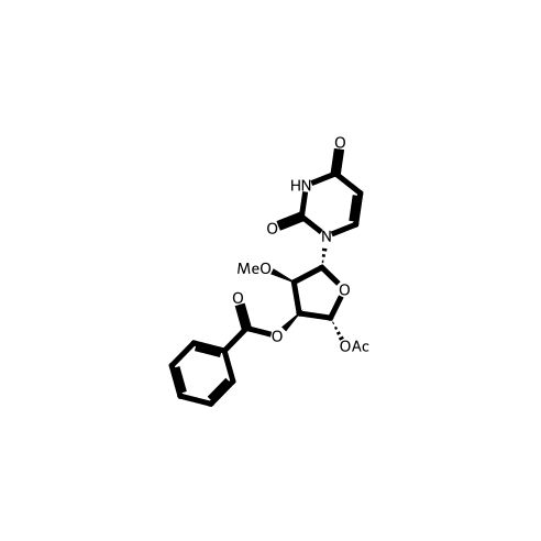 CO[C@@H]1[C@H](OC(=O)c2ccccc2)[C@@H](OC(C)=O)O[C@H]1n1ccc(=O)[nH]c1=O